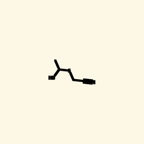 CC(O)SCC#N